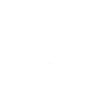 CC(O)CC(O)C1C=CCCC1